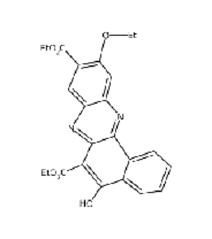 CCOC(=O)c1cc2nc3c(C(=O)OCC)c(O)c4ccccc4c3nc2cc1OCC